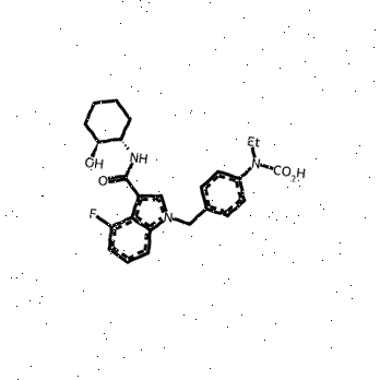 CCN(C(=O)O)c1ccc(Cn2cc(C(=O)N[C@H]3CCCC[C@@H]3O)c3c(F)cccc32)cc1